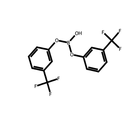 OB(Oc1cccc(C(F)(F)F)c1)Oc1cccc(C(F)(F)F)c1